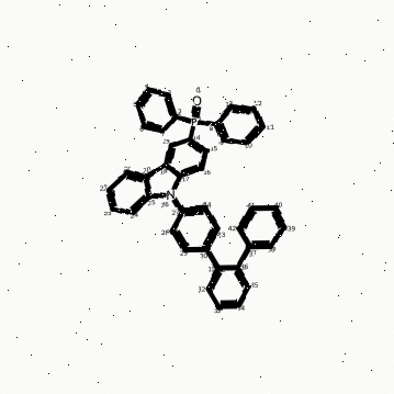 O=P(c1ccccc1)(c1ccccc1)c1ccc2c(c1)c1ccccc1n2-c1ccc(-c2ccccc2-c2ccccc2)cc1